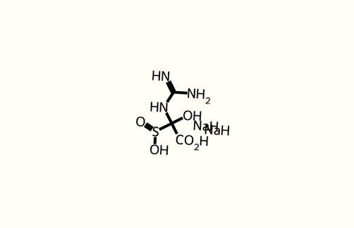 N=C(N)NC(O)(C(=O)O)S(=O)O.[NaH].[NaH]